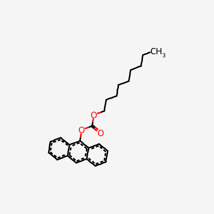 CCCCCCCCCOC(=O)Oc1c2ccccc2cc2ccccc12